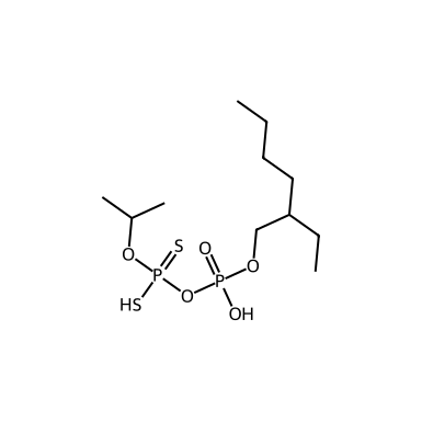 CCCCC(CC)COP(=O)(O)OP(=S)(S)OC(C)C